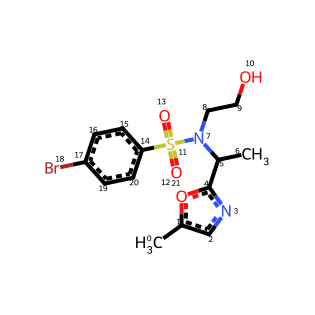 Cc1cnc(C(C)N(CCO)S(=O)(=O)c2ccc(Br)cc2)o1